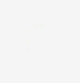 F.F.F.F.F.F.[Li].[S]